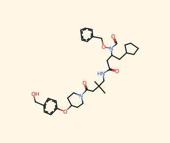 CC(C)(CNC(=O)CC(CC1CCCC1)N(C=O)OCc1ccccc1)CC(=O)N1CCC(Oc2ccc(CO)cc2)CC1